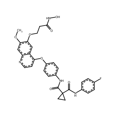 COc1cc2nccc(Oc3ccc(NC(=O)C4(C(=O)Nc5ccc(F)cc5)CC4)cc3)c2cc1OCCC(=O)NO